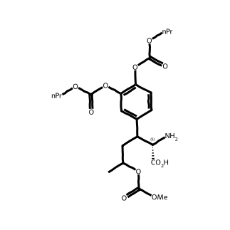 CCCOC(=O)Oc1ccc(C(CC(C)OC(=O)OC)[C@H](N)C(=O)O)cc1OC(=O)OCCC